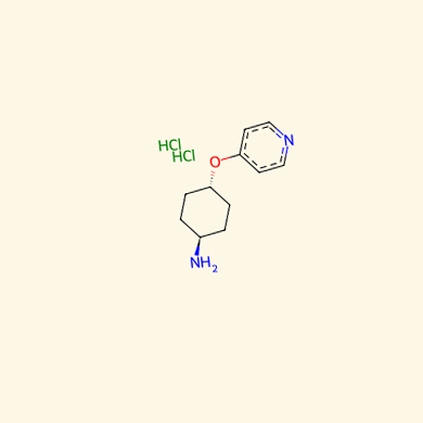 Cl.Cl.N[C@H]1CC[C@H](Oc2ccncc2)CC1